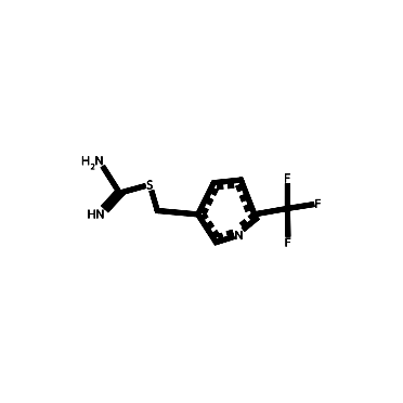 N=C(N)SCc1ccc(C(F)(F)F)nc1